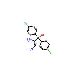 N/C=C(\N)C(O)(c1ccc(Cl)cc1)c1ccc(Cl)cc1